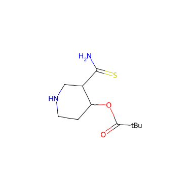 CC(C)(C)C(=O)OC1CCNCC1C(N)=S